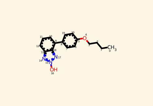 CCCCOc1ccc(-c2cccc3nn(O)nc23)cc1